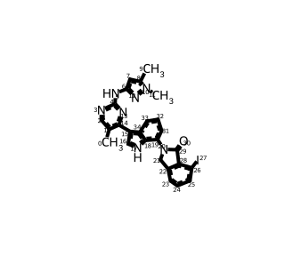 Cc1cnc(Nc2cc(C)n(C)n2)nc1-c1c[nH]c2c(N3Cc4cccc(I)c4C3=O)cccc12